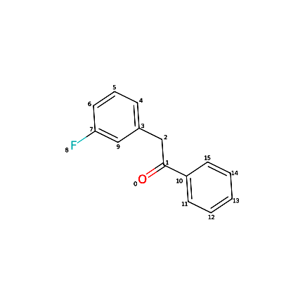 O=C(Cc1cccc(F)c1)c1ccccc1